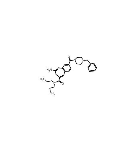 CCCN(CCC)C(=O)C1=Cc2ccc(C(=O)N3CCN(Cc4ccccc4)CC3)cc2N=C(N)C1